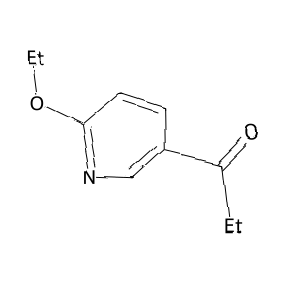 CCOc1ccc(C(=O)CC)cn1